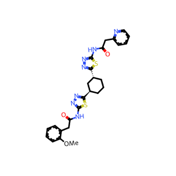 COc1ccccc1CC(=O)Nc1nnc([C@@H]2CCC[C@@H](c3nnc(NC(=O)Cc4ccccn4)s3)C2)s1